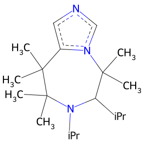 CC(C)C1N(C(C)C)C(C)(C)C(C)(C)c2cncn2C1(C)C